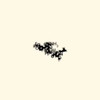 COc1cc(C(=O)NCC(O)(c2cc3c(c(-c4ccc5c(c4)OC(F)(F)O5)n2)OC[C@]3(C)C(N)=O)C(F)(F)F)cn2cc(C3CC3)nc12